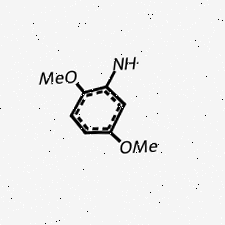 COc1ccc(OC)c([NH])c1